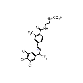 O=C(O)NCCNC(=O)c1ccc(/C=C/C(c2cc(Cl)c(Cl)c(Cl)c2)C(F)(F)F)cc1C(F)(F)F